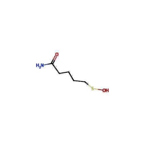 NC(=O)CCCCSO